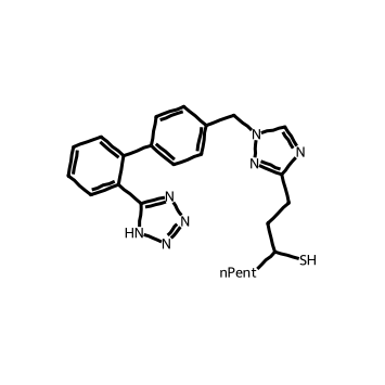 CCCCCC(S)CCc1ncn(Cc2ccc(-c3ccccc3-c3nnn[nH]3)cc2)n1